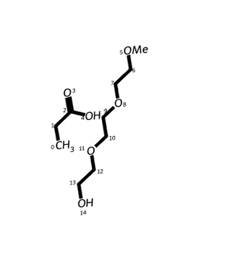 CCC(=O)O.COCCOCCOCCO